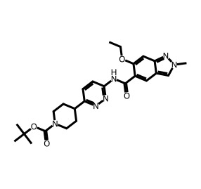 CCOc1cc2nn(C)cc2cc1C(=O)Nc1ccc(C2CCN(C(=O)OC(C)(C)C)CC2)nn1